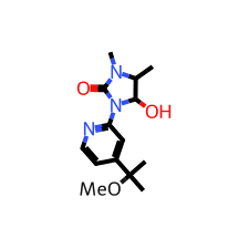 COC(C)(C)c1ccnc(N2C(=O)N(C)C(C)C2O)c1